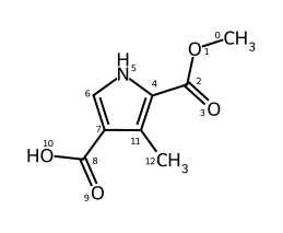 COC(=O)c1[nH]cc(C(=O)O)c1C